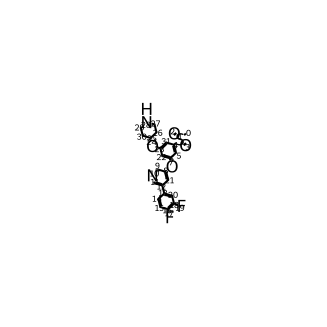 CS(=O)(=O)c1cc(Oc2cncc(-c3ccc(F)c(F)c3)c2)cc(OC2CCNCC2)c1